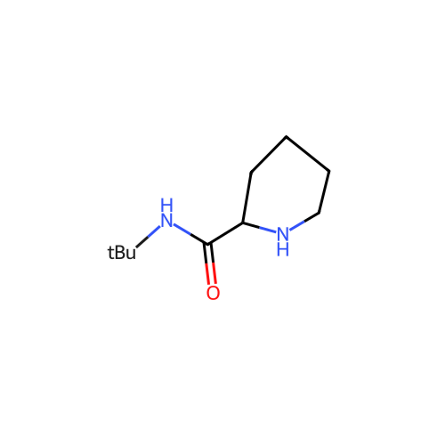 CC(C)(C)NC(=O)C1CCCCN1